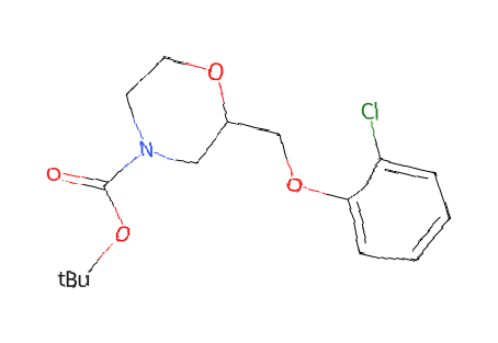 CC(C)(C)OC(=O)N1CCOC(COc2ccccc2Cl)C1